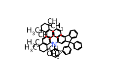 CC1(C)CCC(C)(C)c2cc(-c3cc4c(cc3N(c3ccccc3)c3c(-c5ccccc5)ccc5c3C(C)(C)CCC5(C)C)C(c3ccccc3)(c3ccccc3)c3ccccc3-4)ccc21